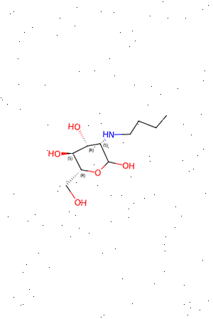 CCCCN[C@@H]1C(O)O[C@H](CO)[C@@H](O)[C@@H]1O